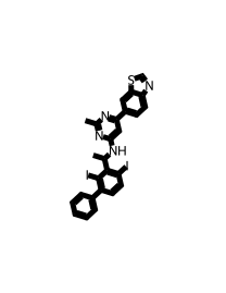 Cc1nc(NC(C)c2c(I)ccc(-c3ccccc3)c2I)cc(-c2ccc3ncsc3c2)n1